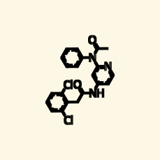 CC(=O)N(c1ccccc1)c1cc(NC(=O)Cc2c(Cl)cccc2Cl)ccn1